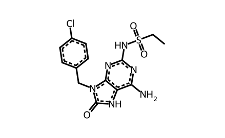 CCS(=O)(=O)Nc1nc(N)c2[nH]c(=O)n(Cc3ccc(Cl)cc3)c2n1